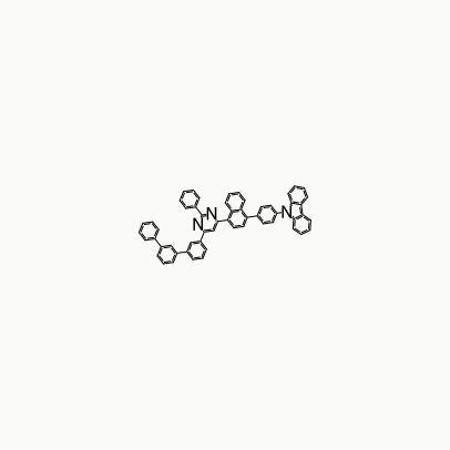 c1ccc(-c2cccc(-c3cccc(-c4cc(-c5ccc(-c6ccc(-n7c8ccccc8c8ccccc87)cc6)c6ccccc56)nc(-c5ccccc5)n4)c3)c2)cc1